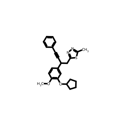 COc1ccc(C(C#Cc2ccccc2)Cc2nnc(C)s2)cc1OC1CCCC1